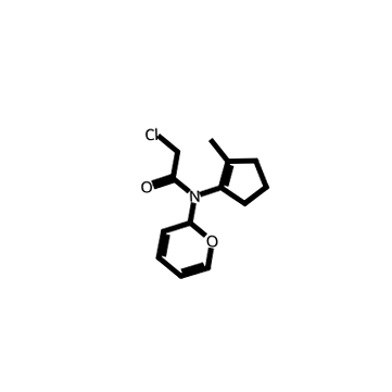 CC1=C(N(C(=O)CCl)C2C=CC=CO2)CCC1